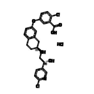 Cl.O=C(O)c1cc(Oc2ccc3c(c2)C[C@@H](NC[C@H](O)c2ccc(Cl)nc2)CC3)ccc1Cl